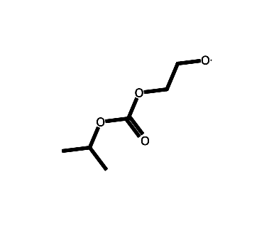 CC(C)OC(=O)OCC[O]